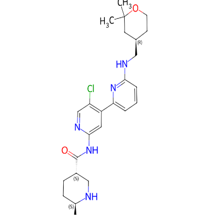 C[C@H]1CC[C@H](C(=O)Nc2cc(-c3cccc(NC[C@@H]4CCOC(C)(C)C4)n3)c(Cl)cn2)CN1